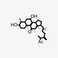 C=C(CC[C@@H](C)C1CCC2C3=C(C(=O)C[C@@]21C)[C@@]1(C)CC[C@H](O)[C@@H](C)C1C[C@H]3O)C(C)C(C)=O